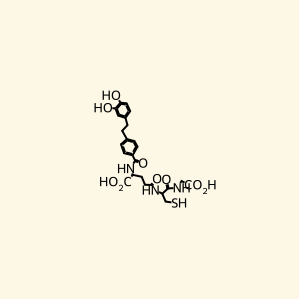 O=C(O)CNC(=O)C(CS)NC(=O)CCC(NC(=O)c1ccc(CCc2ccc(O)c(O)c2)cc1)C(=O)O